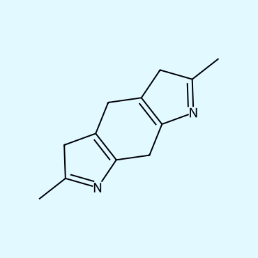 CC1=NC2=C(C1)CC1=C(C2)N=C(C)C1